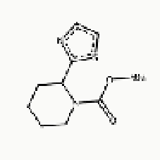 CC(C)(C)OC(=O)N1CCCCC1c1nccs1